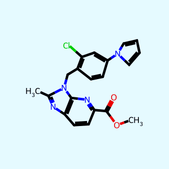 COC(=O)c1ccc2nc(C)n(Cc3ccc(-n4cccc4)cc3Cl)c2n1